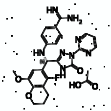 CC(=O)O.COc1cc([C@H](Nc2ccc(C(=N)N)cc2)c2nn(-c3ncccn3)c(=O)[nH]2)c(F)c2c1OCCC2